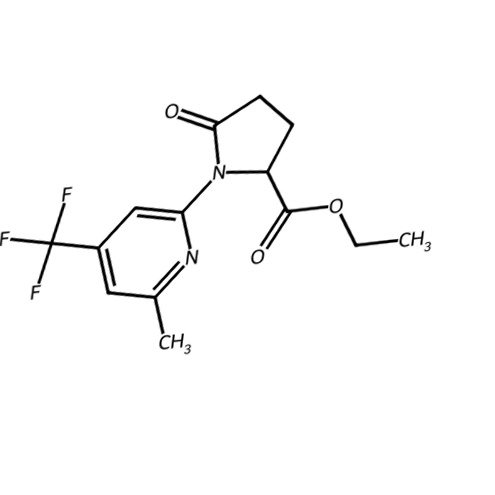 CCOC(=O)C1CCC(=O)N1c1cc(C(F)(F)F)cc(C)n1